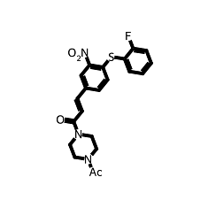 CC(=O)N1CCN(C(=O)/C=C/c2ccc(Sc3ccccc3F)c([N+](=O)[O-])c2)CC1